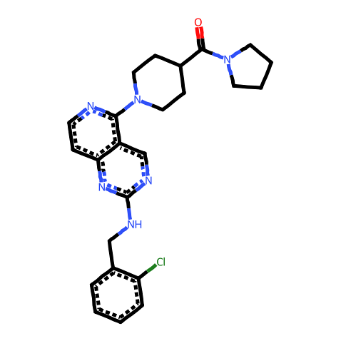 O=C(C1CCN(c2nccc3nc(NCc4ccccc4Cl)ncc23)CC1)N1CCCC1